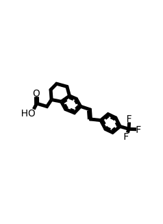 O=C(O)CC1CCCc2cc(/C=C/c3ccc(C(F)(F)F)cc3)ccc21